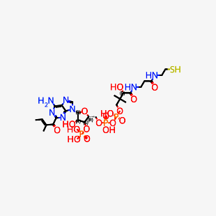 CC=C(C)C(=O)c1nc(N)c2ncn([C@@H]3O[C@H](COP(=O)(O)OP(=O)(O)OCC(C)(C)[C@@H](O)C(=O)NCCC(=O)NCCS)[C@@H](OP(=O)(O)O)[C@H]3O)c2n1